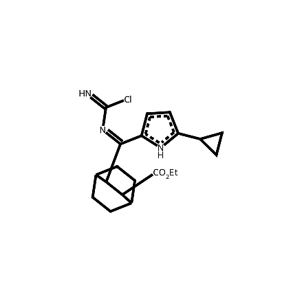 CCOC(=O)C1C2CCC(CC2)C1/C(=N/C(=N)Cl)c1ccc(C2CC2)[nH]1